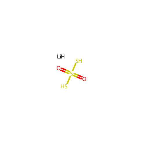 O=S(=O)(S)S.[LiH]